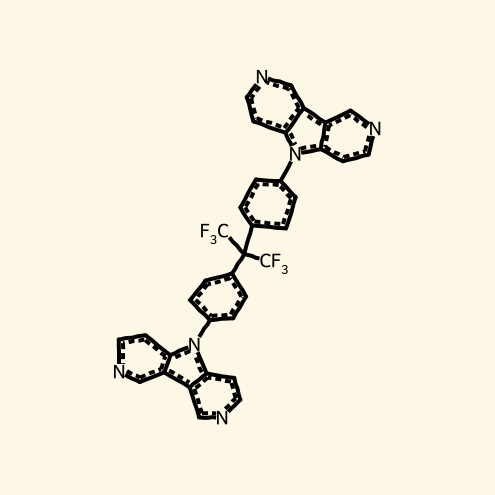 FC(F)(F)C(c1ccc(-n2c3ccncc3c3cnccc32)cc1)(c1ccc(-n2c3ccncc3c3cnccc32)cc1)C(F)(F)F